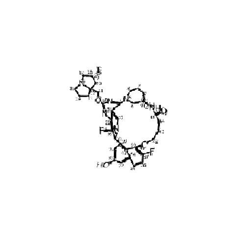 C[C@@]12CCCN(C1)c1nc(OC[C@@]34CCCN3C[C@H](F)C4)nc3c(F)c(ncc13)-c1cc(O)cc3ccc(F)c(c13)CCCCC(=O)N2